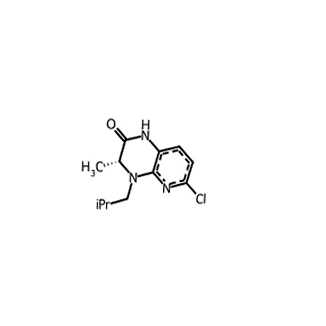 CC(C)CN1c2nc(Cl)ccc2NC(=O)[C@H]1C